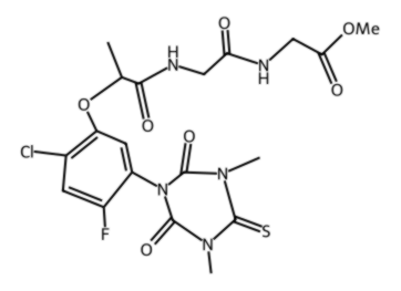 COC(=O)CNC(=O)CNC(=O)C(C)Oc1cc(-n2c(=O)n(C)c(=S)n(C)c2=O)c(F)cc1Cl